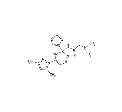 Cc1cc(C)n(C2=CC=NC(NC(=O)CN(C)C)(c3ccco3)N2)n1